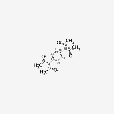 CC(=O)C(C(C)=O)c1ccc(C(C(C)=O)C(C)=O)cc1